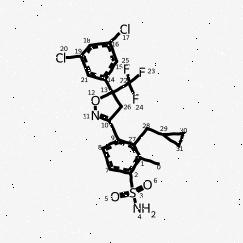 Cc1c(S(N)(=O)=O)ccc(C2=NOC(c3cc(Cl)cc(Cl)c3)(C(F)(F)F)C2)c1CC1CC1